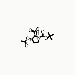 CC(=O)O[C@@H]1CCN(C(=O)OC(C)(C)C)[C@@H]1C(=O)O